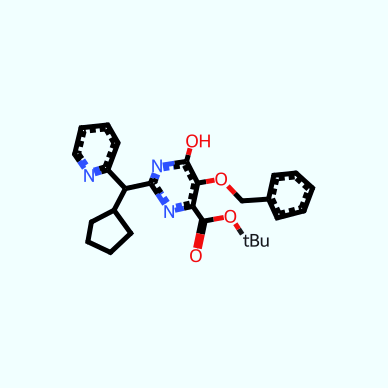 CC(C)(C)OC(=O)c1nc(C(c2ccccn2)C2CCCC2)nc(O)c1OCc1ccccc1